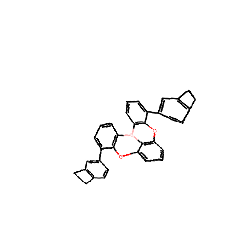 c1cc2c3c(c1)Oc1c(cccc1-c1ccc4c(c1)CC4)B3c1cccc(-c3ccc4c(c3)CC4)c1O2